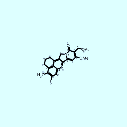 COc1cc2n(c(=O)c1COC(C)=O)Cc1c-2nc2cc(F)c(C)c3c2c1CCC3